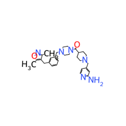 Cc1noc(C)c1Cc1cccc(CN2CCN(C(=O)C3CCN(Cc4ccnc(N)c4)CC3)CC2)c1